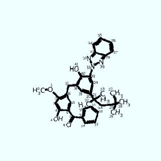 COc1cc(O)c(C(=O)c2ccccc2)cc1Cc1cc(C(C)(C)CC(C)(C)C)cc(-n2nc3ccccc3n2)c1O